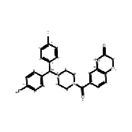 O=C1COc2ccc(C(=O)N3CCN(C(c4ccc(F)cc4)c4ccc(F)cc4)CC3)cc2N1